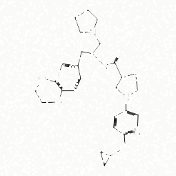 O=C(NC(Cc1ccc2c(c1)OCCO2)CN1CCCC1)C1CCN(c2ccc(OC3CC3)nc2)C1